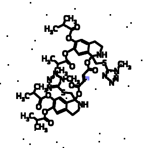 CC(C)C(=O)Oc1cc2c(cc1OC(=O)C(C)C)C(CSc1nnnn1C)(OC(=O)/C=C/C(=O)OC1(CSc3nnnn3C)NCCc3cc(OC(=O)C(C)C)c(OC(=O)C(C)C)cc31)NCC2